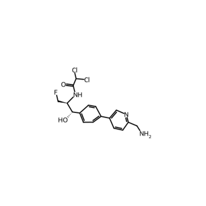 NCc1ccc(-c2ccc([C@H](O)[C@@H](CF)NC(=O)C(Cl)Cl)cc2)cn1